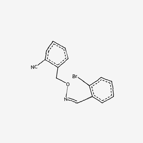 N#Cc1ccccc1CO/N=[C]\c1ccccc1Br